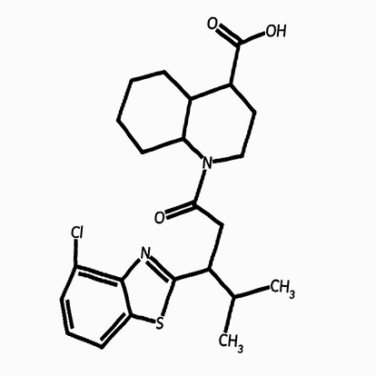 CC(C)C(CC(=O)N1CCC(C(=O)O)C2CCCCC21)c1nc2c(Cl)cccc2s1